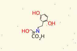 O=C(O)[C@H](CO)N=CCc1cc(O)ccc1O